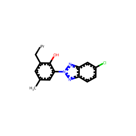 Cc1cc(CC(C)C)c(O)c(-n2nc3ccc(Cl)cc3n2)c1